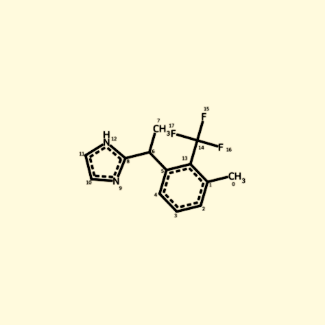 Cc1cccc(C(C)c2ncc[nH]2)c1C(F)(F)F